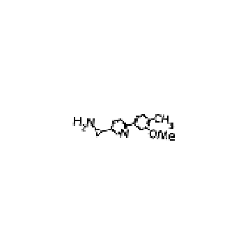 COc1cc(-c2ccc(C3CC3N)cn2)ccc1C